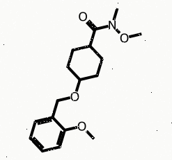 COc1ccccc1COC1CCC(C(=O)N(C)OC)CC1